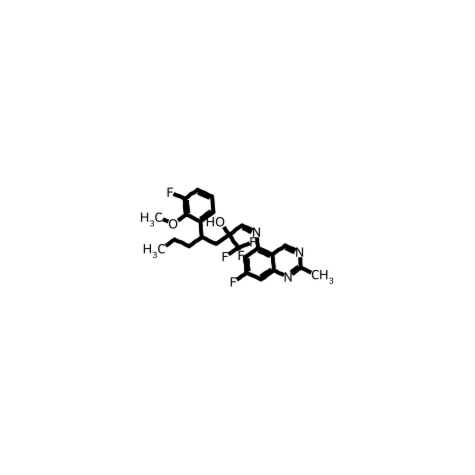 CCCC(CC(O)(/C=N\c1cc(F)cc2nc(C)ncc12)C(F)(F)F)c1cccc(F)c1OC